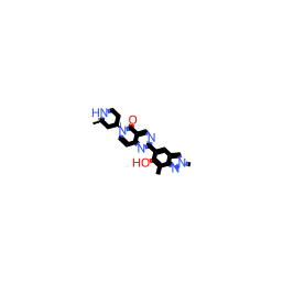 Cc1c(O)c(-c2ncc3c(=O)n([C@@H]4CCN[C@H](C)C4)ccc3n2)cc2cn(C)nc12